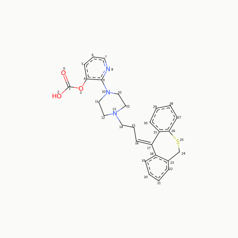 O=C(O)Oc1cccnc1N1CCN(CCC=C2c3ccccc3CSc3ccccc32)CC1